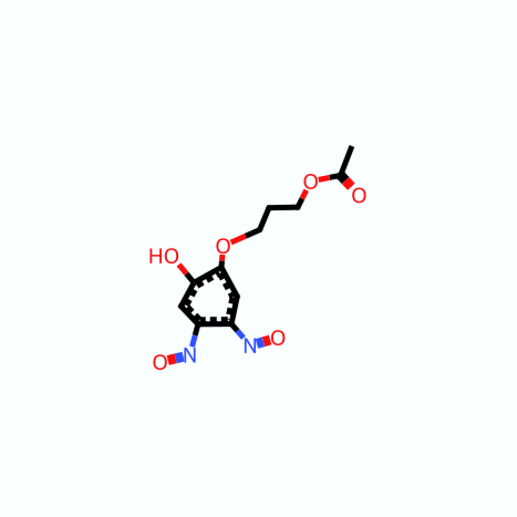 CC(=O)OCCCOc1cc(N=O)c(N=O)cc1O